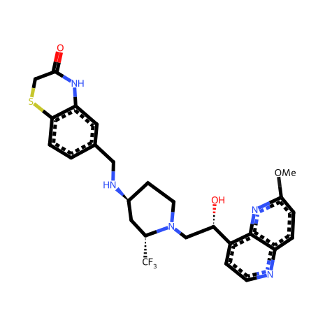 COc1ccc2nccc([C@@H](O)CN3CC[C@H](NCc4ccc5c(c4)NC(=O)CS5)C[C@H]3C(F)(F)F)c2n1